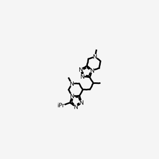 CC(C)c1nnc2n1CN(C)CC2CC(C)c1nnc2n1CCN(C)C2